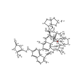 C#Cc1c(F)ccc2cc(OCc3oc(=O)oc3C)cc(-c3nc4c5c(nc(OC[C@@]67CCCN6C[C@H](F)C7)nc5c3F)N3C[C@H]5CC[C@@H]([C@@H]3[C@@H](C)C4)N5Cc3oc(=O)oc3C)c12